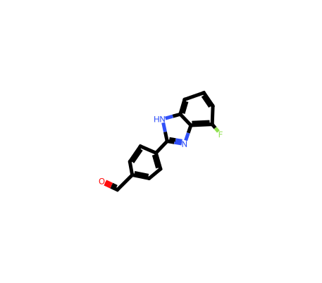 O=Cc1ccc(-c2nc3c(F)cccc3[nH]2)cc1